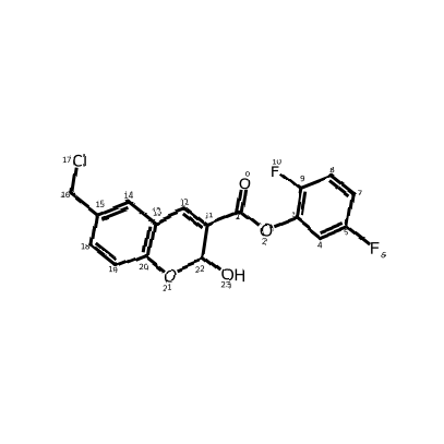 O=C(Oc1cc(F)ccc1F)C1=Cc2cc(CCl)ccc2OC1O